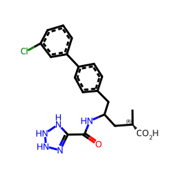 C[C@H](CC(Cc1ccc(-c2cccc(Cl)c2)cc1)NC(=O)C1=NNNN1)C(=O)O